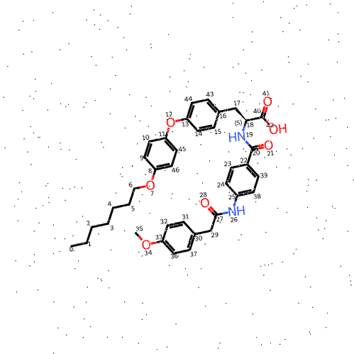 CCCCCCCOc1ccc(Oc2ccc(C[C@H](NC(=O)c3ccc(NC(=O)Cc4ccc(OC)cc4)cc3)C(=O)O)cc2)cc1